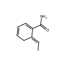 CC=C1CC=CC=C1C(N)=O